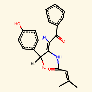 CCC(O)(C(NC(=O)C=C(C)C)=C(N)C(=O)c1ccccc1)c1ccc(O)cc1